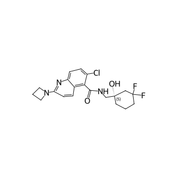 O=C(NC[C@]1(O)CCCC(F)(F)C1)c1c(Cl)ccc2nc(N3CCC3)ccc12